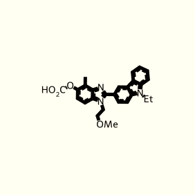 CCn1c2ccccc2c2cc(-c3nc4c(C)c(OC(=O)O)ccc4n3CCOC)ccc21